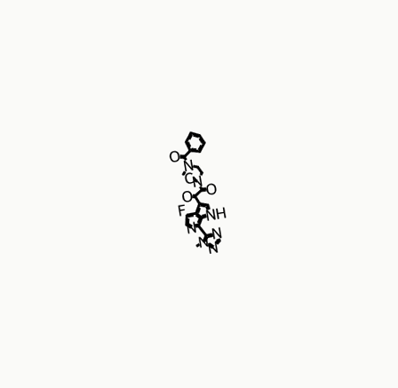 Cn1ncnc1-c1ncc(F)c2c(C(=O)C(=O)N3CCN(C(=O)c4ccccc4)CC3)c[nH]c12